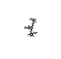 C=CC[C@@H]1[C@@H](CCC(CCCCCO[Si](C)(C)C(C)(C)C)O[Si](C)(C)C(C)(C)C)[C@H](C)C[C@@H]1C